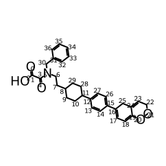 O=C(O)C(=O)N(CCC1CCC(c2ccc(C3=CC=C4OOCC=C4C3)cc2)CC1)Cc1ccccc1